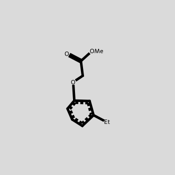 CCc1cccc(OCC(=O)OC)c1